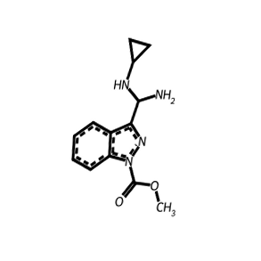 COC(=O)n1nc(C(N)NC2CC2)c2ccccc21